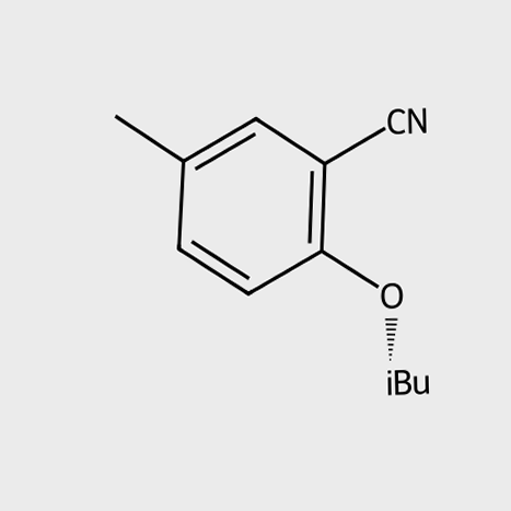 CC[C@@H](C)Oc1ccc(C)cc1C#N